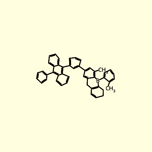 Cc1ccccc1B1C2=C(C=CCC2)Cc2cc(-c3cccc(-c4c5ccccc5c(-c5ccccc5)c5ccccc45)c3)cc(C)c21